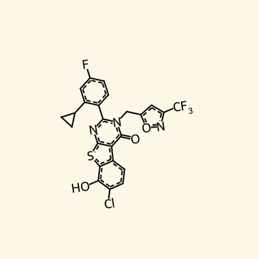 O=c1c2c(nc(-c3ccc(F)cc3C3CC3)n1Cc1cc(C(F)(F)F)no1)sc1c(O)c(Cl)ccc12